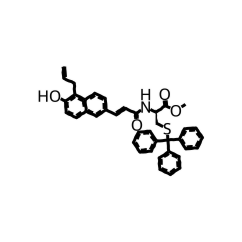 C=CCc1c(O)ccc2cc(/C=C/C(=O)N[C@H](CSC(c3ccccc3)(c3ccccc3)c3ccccc3)C(=O)OC)ccc12